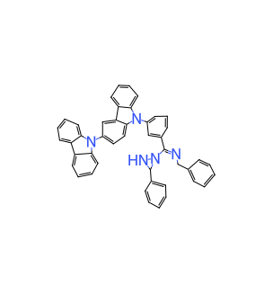 c1ccc(C/N=C(/c2cccc(-n3c4ccccc4c4cc(-n5c6ccccc6c6ccccc65)ccc43)c2)N2NC2c2ccccc2)cc1